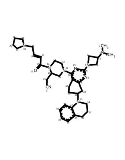 CN(C)C1CN(c2nc3c(c(N4CCN(C(=O)C=CCN5CCCC5)C(CC#N)C4)n2)CCC(N2CCCc4ccccc42)C3)C1